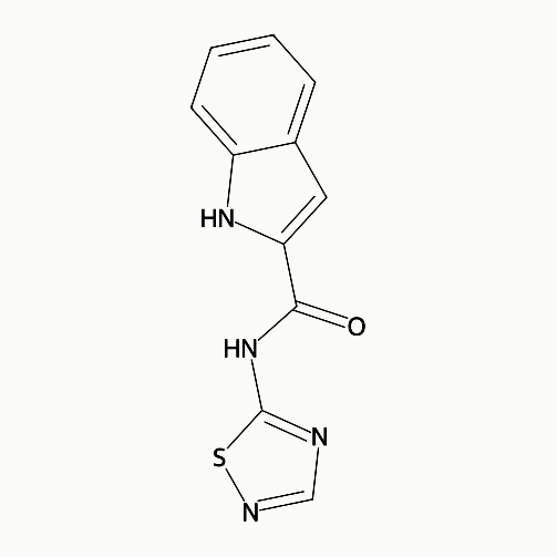 O=C(Nc1ncns1)c1cc2ccccc2[nH]1